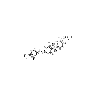 CC1CN(CCc2ccc(C(F)(F)F)c(F)c2)C[C@@H](C)N1S(=O)(=O)c1cccc(CC(=O)O)c1